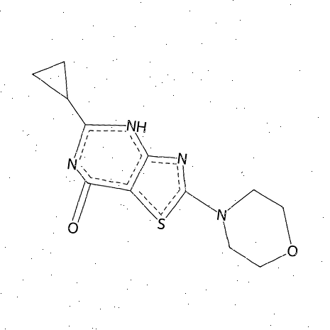 O=c1nc(C2CC2)[nH]c2nc(N3CCOCC3)sc12